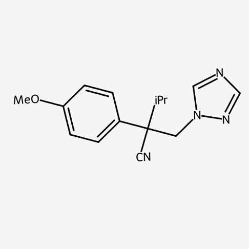 COc1ccc(C(C#N)(Cn2cncn2)C(C)C)cc1